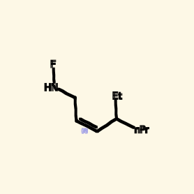 CCCC(/C=C\CNF)CC